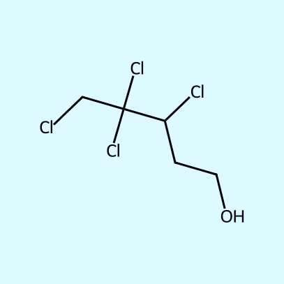 OCCC(Cl)C(Cl)(Cl)CCl